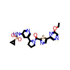 CCOc1cncc(-c2cnc(C(=O)N3CCCC3c3cncc(NS(=O)(=O)C4CC4)c3)s2)n1